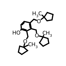 CC1(OCc2ccc(O)c(COC3(C)CCCC3)c2COC2(C)CCCC2)CCCC1